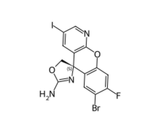 NC1=N[C@@]2(CO1)c1cc(Br)c(F)cc1Oc1ncc(I)cc12